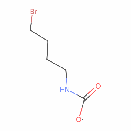 [O]C(=O)NCCCCBr